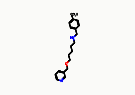 O=C(O)c1ccc(CNCCCCCOCc2cccnc2)cc1